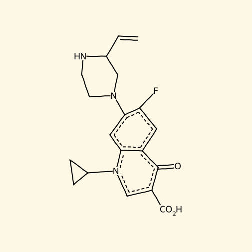 C=CC1CN(c2cc3c(cc2F)c(=O)c(C(=O)O)cn3C2CC2)CCN1